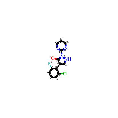 O=c1c(-c2c(F)cccc2Cl)c[nH]n1-c1ncccn1